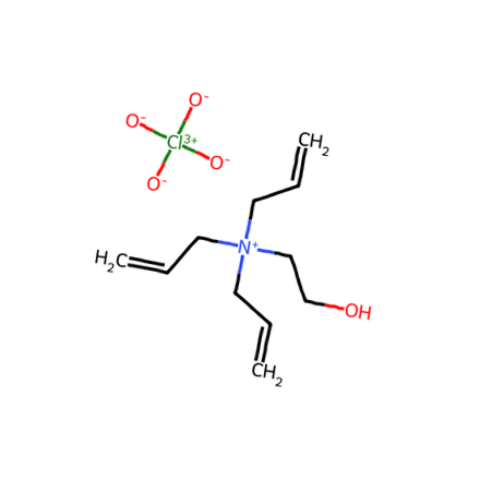 C=CC[N+](CC=C)(CC=C)CCO.[O-][Cl+3]([O-])([O-])[O-]